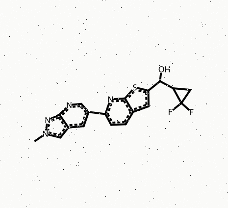 Cn1cc2cc(-c3ccc4cc(C(O)C5CC5(F)F)sc4n3)cnc2n1